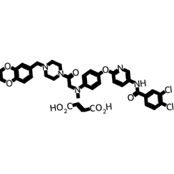 CN(CC(=O)N1CCN(Cc2ccc3c(c2)OCCO3)CC1)c1ccc(Oc2ccc(NC(=O)c3ccc(Cl)c(Cl)c3)cn2)cc1.O=C(O)C=CC(=O)O